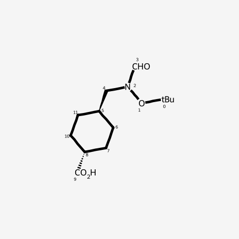 CC(C)(C)ON(C=O)C[C@H]1CC[C@H](C(=O)O)CC1